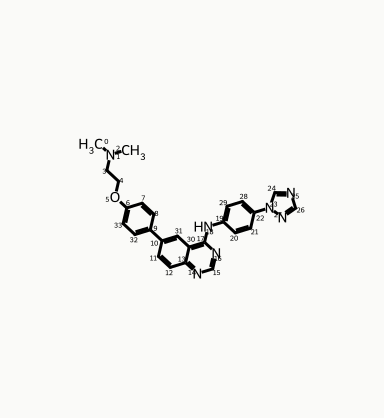 CN(C)CCOc1ccc(-c2ccc3ncnc(Nc4ccc(-n5cncn5)cc4)c3c2)cc1